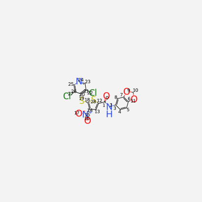 O=C(Nc1ccc2c(c1)OCO2)c1cc([N+](=O)[O-])c(Sc2c(Cl)cncc2Cl)s1